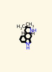 CC1(C)CN[C@@H]2Cc3c[nH]c4cccc(c34)[C@H]2C1